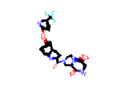 O=C1NCC(=O)N2CCN(C(=O)c3ccc4cc(Oc5ccc(C(F)(F)F)cn5)ccc4n3)CC12